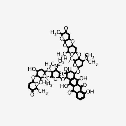 CCC1(O)CC(OC2CC(N(C)C)C(OC3CC4OC5CC(=O)C(C)OC5OC4C(C)O3)C(C)O2)c2c(O)c3c(c(O)c2C1OC1CC(N(C)C)C(OC2CC(O)C(OC4CCC(=O)C(C)O4)C(C)O2)C(C)O1)C(=O)c1cccc(O)c1C3=O